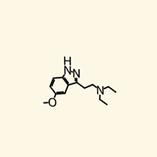 CCN(CC)CCc1n[nH]c2ccc(OC)cc12